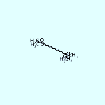 C=C(C)C(=O)OCCCCCCCCCCCCC[Si](OC)(OC)OC